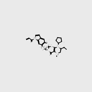 C=CC(=O)n1ccc2cc(N[C@@]3(N)NC(=O)C4=C(N3)N(C3CCCC3)C(CC)CN4C)c(OC)cc21